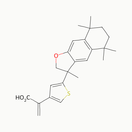 C=C(C(=O)O)c1csc(C2(C)COc3cc4c(cc32)C(C)(C)CCC4(C)C)c1